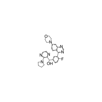 OC(c1ccc(F)c(-c2ncnc3cc(N4CCOCC4)ccc23)c1)c1nccnc1N1CCCC1